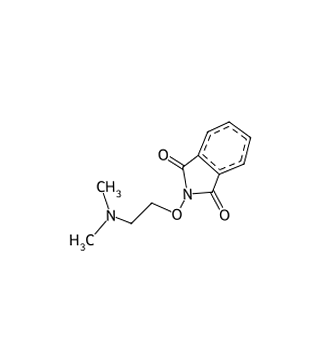 CN(C)CCON1C(=O)c2ccccc2C1=O